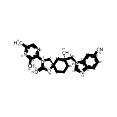 Cc1cnc(N2C[C@@]3(CCC[C@](C)(Cn4cnc5ccc(C#N)cc54)C3)OC2=O)c(C)n1